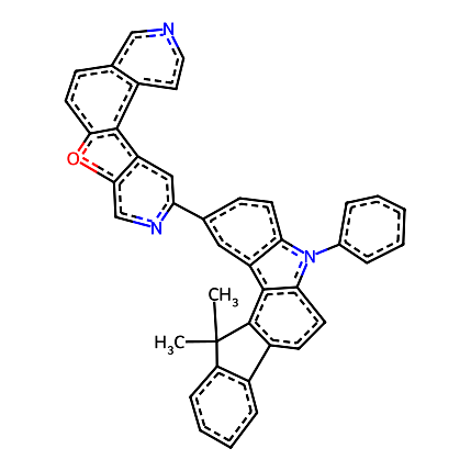 CC1(C)c2ccccc2-c2ccc3c(c21)c1cc(-c2cc4c(cn2)oc2ccc5cnccc5c24)ccc1n3-c1ccccc1